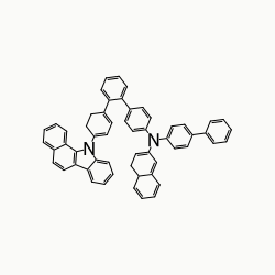 C1=CC2=CC(N(c3ccc(-c4ccccc4)cc3)c3ccc(-c4ccccc4C4=CC=C(n5c6ccccc6c6ccc7ccccc7c65)CC4)cc3)=CCC2C=C1